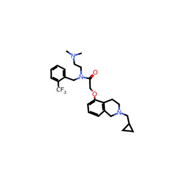 CN(C)CCN(Cc1ccccc1C(F)(F)F)C(=O)COc1cccc2c1CCN(CC1CC1)C2